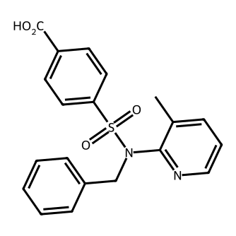 Cc1cccnc1N(Cc1ccccc1)S(=O)(=O)c1ccc(C(=O)O)cc1